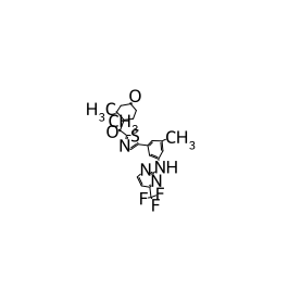 Cc1cc(Nc2nccc(C(F)(F)F)n2)cc(-c2cnc(C(=O)C3CCC(=O)CC3(C)C)s2)c1